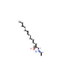 CCCCCCCCCCCCC(O)CNCC